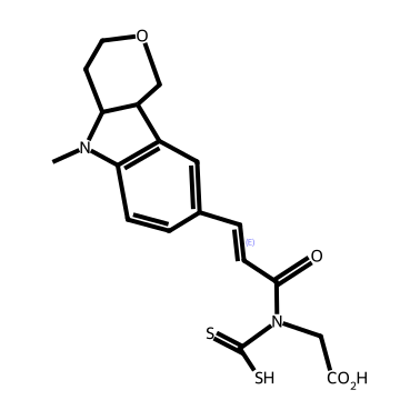 CN1c2ccc(/C=C/C(=O)N(CC(=O)O)C(=S)S)cc2C2COCCC21